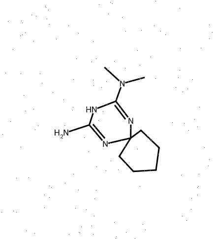 CN(C)C1=NC2(CCCCC2)N=C(N)N1